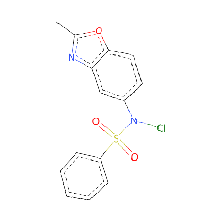 Cc1nc2cc(N(Cl)S(=O)(=O)c3ccccc3)ccc2o1